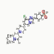 CCC1CC(N2CCC(c3cc(F)c4nc(-c5ccc(S(C)(=O)=O)cc5)cn4c3)CC2)CC(C)N1CC1CC1